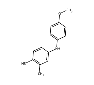 COc1ccc(Nc2ccc(S)c(C)c2)cc1